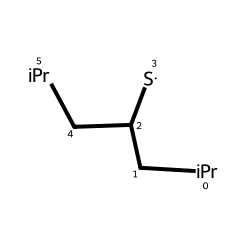 CC(C)CC([S])CC(C)C